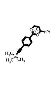 CCCC1OC2(c3ccc(C#C[Si](C)(C)C)cc3)OCC1CO2